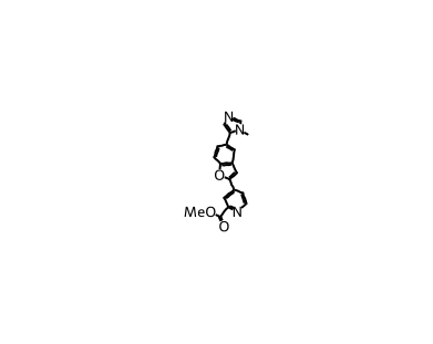 COC(=O)c1cc(-c2cc3cc(-c4cncn4C)ccc3o2)ccn1